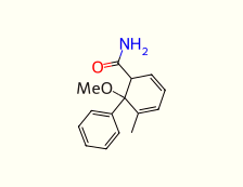 COC1(c2ccccc2)C(C)=CC=CC1C(N)=O